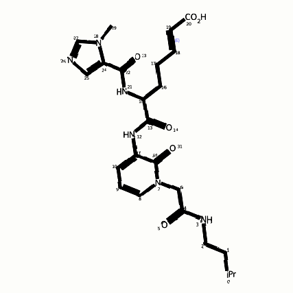 CC(C)CCNC(=O)Cn1cccc(NC(=O)C(CC/C=C/C(=O)O)NC(=O)c2cncn2C)c1=O